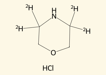 Cl.[2H]C1([2H])COCC([2H])([2H])N1